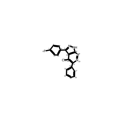 Fc1ccc(-c2n[nH]c3nnc(-c4ccccc4)c(Cl)c23)cc1